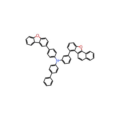 c1ccc(-c2ccc(N(c3ccc(-c4ccc5oc6ccccc6c5c4)cc3)c3cccc(-c4cccc5oc6c7ccccc7ccc6c45)c3)cc2)cc1